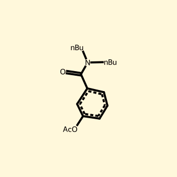 CCCCN(CCCC)C(=O)c1cccc(OC(C)=O)c1